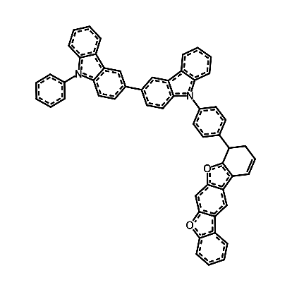 C1=Cc2c(oc3cc4oc5ccccc5c4cc23)C(c2ccc(-n3c4ccccc4c4cc(-c5ccc6c(c5)c5ccccc5n6-c5ccccc5)ccc43)cc2)C1